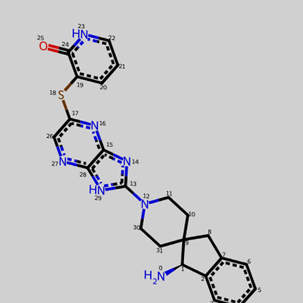 N[C@@H]1c2ccccc2CC12CCN(c1nc3nc(Sc4ccc[nH]c4=O)cnc3[nH]1)CC2